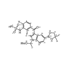 CCCS(=O)(=O)Nc1c(F)ccc(C(=O)c2nn(C(C)OC)c3ncc(B4OCC(C)(C)O4)cc23)c1F